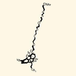 C=CCN1CC[C@]23c4c5ccc(O)c4O[C@H]2[C@H](OCCOCCOCCOCCOCCOCCOCCOC)CC[C@@]3(O)[C@H]1C5